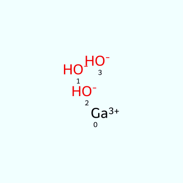 [Ga+3].[OH-].[OH-].[OH-]